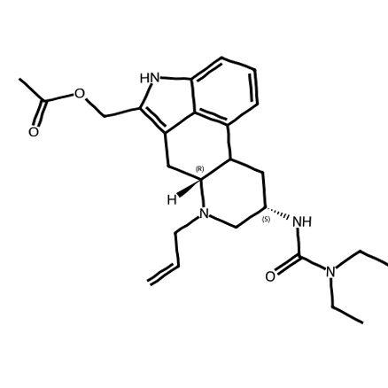 C=CCN1C[C@@H](NC(=O)N(CC)CC)CC2c3cccc4[nH]c(COC(C)=O)c(c34)C[C@H]21